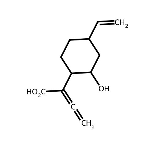 C=C=C(C(=O)O)C1CCC(C=C)CC1O